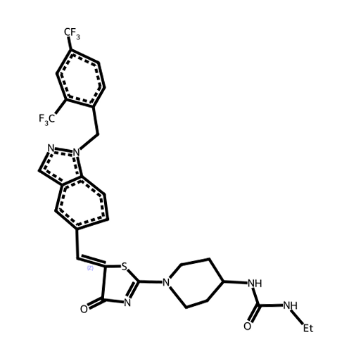 CCNC(=O)NC1CCN(C2=NC(=O)/C(=C/c3ccc4c(cnn4Cc4ccc(C(F)(F)F)cc4C(F)(F)F)c3)S2)CC1